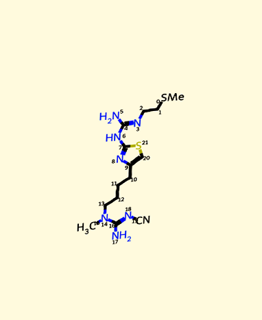 CSCCN=C(N)Nc1nc(CCCCN(C)C(N)=NC#N)cs1